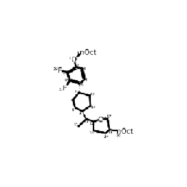 CCCCCCCCOc1ccc([C@H]2CC[C@H](C(C)C3CCC(CCCCCCCC)CC3)CC2)c(F)c1F